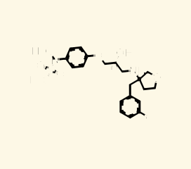 CN(c1ccc(OC[C@H](O)CNC2(Cc3cccc(Cl)c3)CCOC2)cc1)S(C)(=O)=O